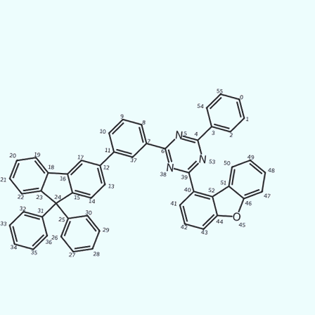 c1ccc(-c2nc(-c3cccc(-c4ccc5c(c4)-c4ccccc4C5(c4ccccc4)c4ccccc4)c3)nc(-c3cccc4oc5ccccc5c34)n2)cc1